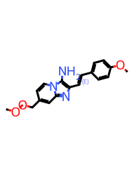 COOCc1ccn2c(N)c(/C=C/c3ccc(OC)cc3)nc2c1